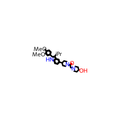 COc1ccc(-c2[nH]c3ccc(C4CCN(C(=O)CN5CCC(O)CC5)CC4)cc3c2C(C)C)cc1OC